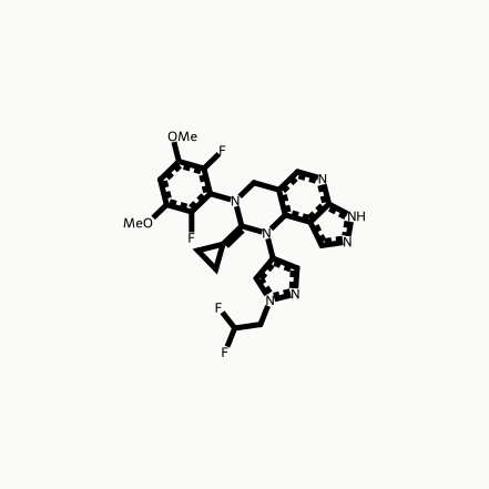 COc1cc(OC)c(F)c(N2Cc3cnc4[nH]ncc4c3N(c3cnn(CC(F)F)c3)C2=C2CC2)c1F